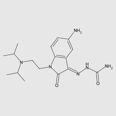 CC(C)N(CCN1C(=O)/C(=N/NC(N)=O)c2cc(N)ccc21)C(C)C